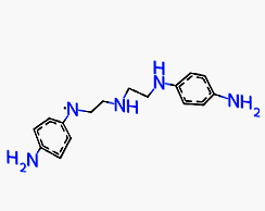 Nc1ccc([N]CCNCCNc2ccc(N)cc2)cc1